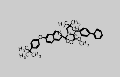 COC(=O)[C@H](Cc1ccc(-c2ccccc2)cc1)N(CC(C)(C)C)C(=O)c1cc2ccc(Oc3ccc(C(C)(C)C)cc3)cc2cn1